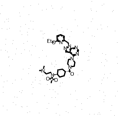 CCOc1cccc(Cn2ncc3c(N4CCN(C(=O)[C@H]5CC[C@H](N(CCN(C)C)S(C)(=O)=O)CC5)CC4)ncnc32)n1